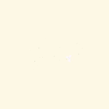 CC(C)c1cccc2c1sc1c(-c3ccc4[nH]c5ccccc5c4c3)cccc12